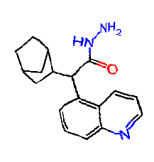 NNC(=O)C(c1cccc2ncccc12)C1CC2CCC1C2